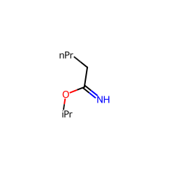 CCCCC(=N)OC(C)C